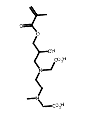 C=C(C)C(=O)OCC(O)CN(CCN(C)CC(=O)O)CC(=O)O